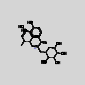 C=C(/C(=C\C1C(O)=CC(O)=CC1C)CC1CC(O)C(O)C(O)C1O)c1ccc(O)c(O)c1